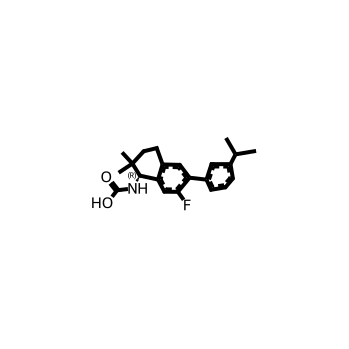 CC(C)c1cccc(-c2cc3c(cc2F)[C@H](NC(=O)O)C(C)(C)CC3)c1